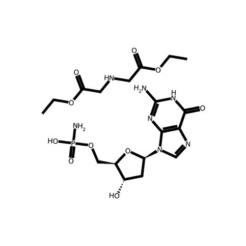 CCOC(=O)CNCC(=O)OCC.Nc1nc2c(ncn2[C@H]2C[C@H](O)[C@@H](COP(N)(=O)O)O2)c(=O)[nH]1